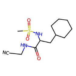 CS(=O)(=O)NC(CC1CCCCC1)C(=O)NCC#N